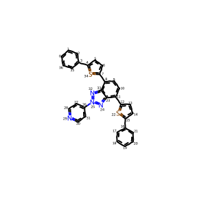 c1ccc(-c2ccc(-c3ccc(-c4ccc(-c5ccccc5)s4)c4nn(-c5ccncc5)nc34)s2)cc1